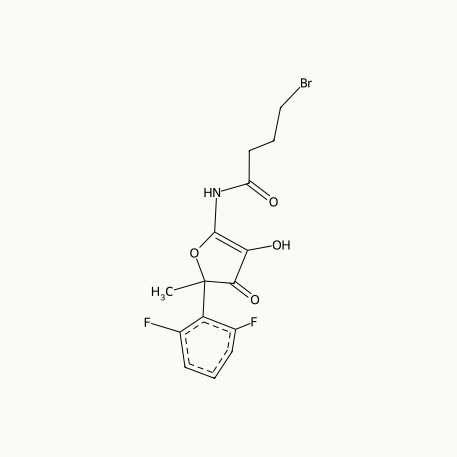 CC1(c2c(F)cccc2F)OC(NC(=O)CCCBr)=C(O)C1=O